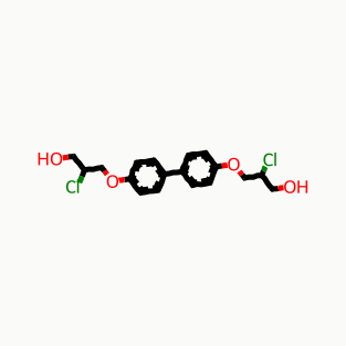 OCC(Cl)COc1ccc(-c2ccc(OCC(Cl)CO)cc2)cc1